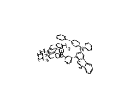 CC1(C)OB(c2cccc(-c3cc(N(c4ccccc4)c4ccc(-c5ccccc5)cc4)cc4c3sc3ccccc34)c2)OC1(C)C